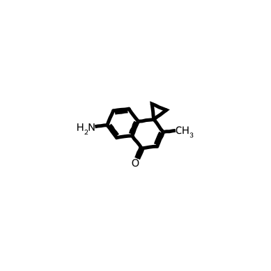 CC1=CC(=O)c2cc(N)ccc2C12CC2